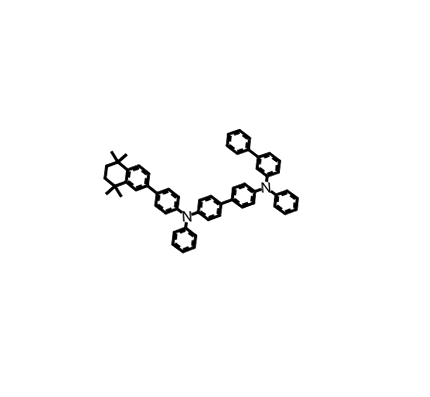 CC1(C)CCC(C)(C)c2cc(-c3ccc(N(c4ccccc4)c4ccc(-c5ccc(N(c6ccccc6)c6cccc(-c7ccccc7)c6)cc5)cc4)cc3)ccc21